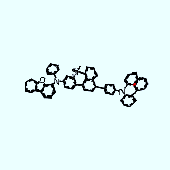 C[Si]1(C)c2cc(N(c3ccccc3)c3cccc4c3oc3ccccc34)ccc2-c2ccc(-c3ccc(N(c4ccccc4)c4ccccc4-c4ccccc4)cc3)c3cccc1c23